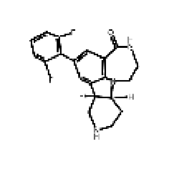 O=C1NCCN2c3c1cc(-c1c(F)cccc1F)cc3[C@H]1CNCC[C@H]12